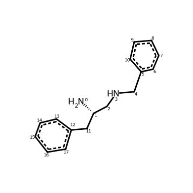 N[C@H](CNCc1ccccc1)Cc1ccccc1